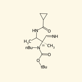 CCCCN(C(=O)OC(C)(C)C)[C@](C)(C=N)C(C)NC(=O)C1CC1